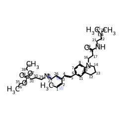 C\C=C/C(C=Cc1ccc2c(c1)CCCN2CCC(=O)NCCN(C)C)=C\C=N\CCCP(=O)(OCC)OCC